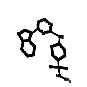 CNS(=O)(=O)c1ccc(Nc2nccc(-c3cnc4ccccn34)n2)cc1